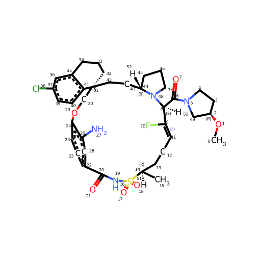 CO[C@@H]1CCN(C(=O)[C@H]2/C(F)=C/CC[C@@H](C)S(=O)(=O)NC(=O)c3ccc(c(N)c3)OC[C@]3(CCCc4cc(Cl)ccc43)CC[C@@H]3CCCN32)C1